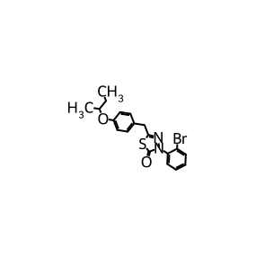 CCC(C)Oc1ccc(Cc2nn(-c3ccccc3Br)c(=O)s2)cc1